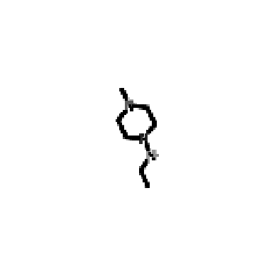 CC[N]N1CCN(C)CC1